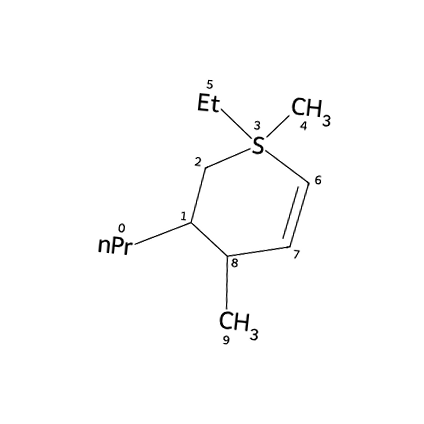 CCCC1CS(C)(CC)C=CC1C